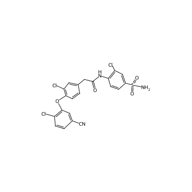 N#Cc1ccc(Cl)c(Oc2ccc(CC(=O)Nc3ccc(S(N)(=O)=O)cc3Cl)cc2Cl)c1